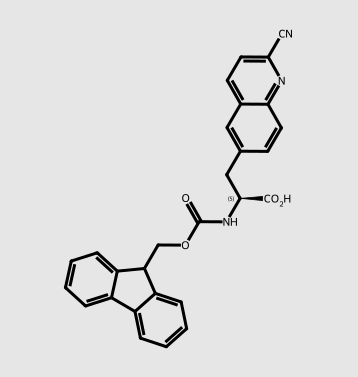 N#Cc1ccc2cc(C[C@H](NC(=O)OCC3c4ccccc4-c4ccccc43)C(=O)O)ccc2n1